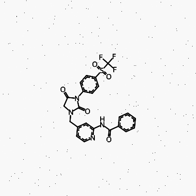 O=C(Nc1cc(CN2CC(=O)N(c3ccc(S(=O)(=O)C(F)(F)F)cc3)C2=O)ccn1)c1ccccc1